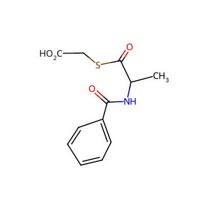 CC(NC(=O)c1ccccc1)C(=O)SCC(=O)O